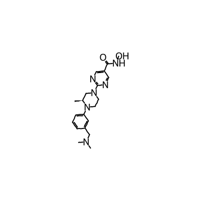 C[C@H]1CN(c2ncc(C(=O)NO)cn2)CCN1c1cccc(CN(C)C)c1